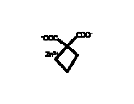 O=C([O-])C1(C(=O)[O-])CCC1.[Zn+2]